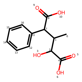 CC(C(O)C(=O)O)C(C(=O)O)c1ccccc1